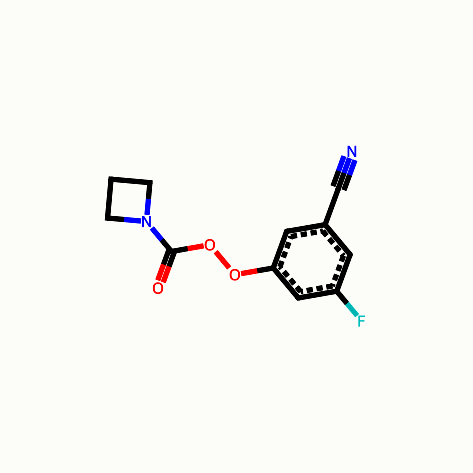 N#Cc1cc(F)cc(OOC(=O)N2CCC2)c1